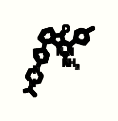 Cc1ccc(-c2nc(N)nc3c2C(=O)c2cccc(-c4ccc(N5CCN(C(C)C)CC5)cc4)c2-3)cc1